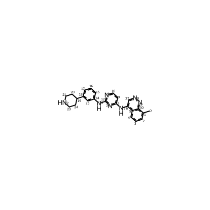 Cc1cccc2c(Nc3ccnc(Nc4cccc(C5CCNCC5)c4)n3)cnnc12